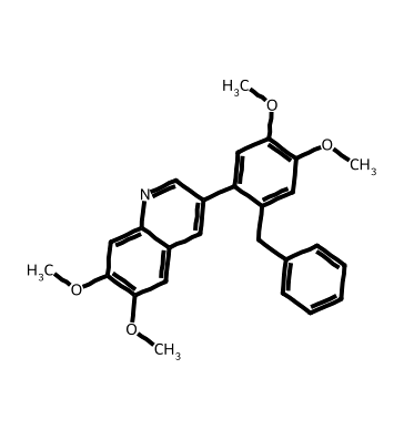 COc1cc(Cc2ccccc2)c(-c2cnc3cc(OC)c(OC)cc3c2)cc1OC